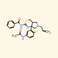 C=CCN1CC2CSC(NC(=O)c3ccccc3)=NC2(c2cc(NC(C)=O)ccc2F)C1